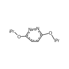 CC(C)Oc1ccc(OC(C)C)nn1